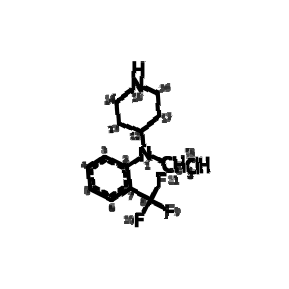 CN(c1ccccc1C(F)(F)F)C1CCNCC1.Cl